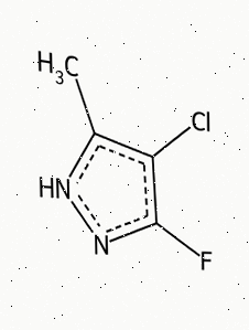 Cc1[nH]nc(F)c1Cl